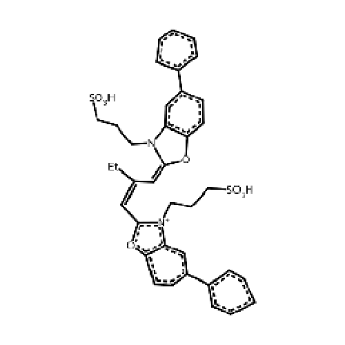 CCC(=Cc1oc2ccc(-c3ccccc3)cc2[n+]1CCCS(=O)(=O)O)C=C1Oc2ccc(-c3ccccc3)cc2N1CCCS(=O)(=O)O